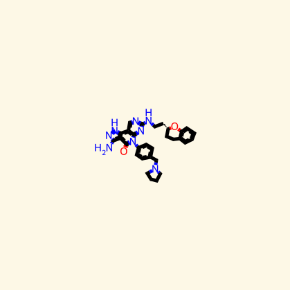 Nc1n[nH]c2c1c(=O)n(-c1ccc(CN3CCCC3)cc1)c1nc(NCC[C@H]3CCc4ccccc4O3)ncc21